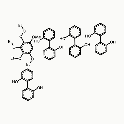 CCOOc1c(OC)cc(OCC)c(OCC)c1OCC.Oc1ccccc1-c1ccccc1O.Oc1ccccc1-c1ccccc1O.Oc1ccccc1-c1ccccc1O.Oc1ccccc1-c1ccccc1O